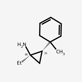 CC[C@@]1(N)C[C@H]1C1(C)C=CC=CC1